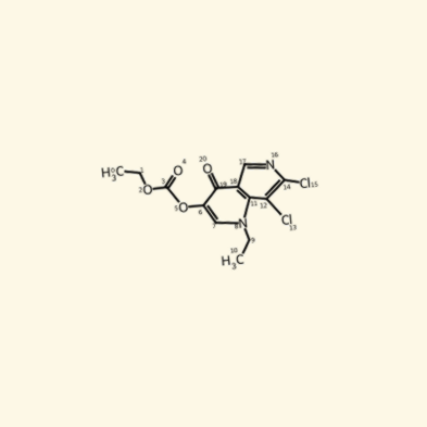 CCOC(=O)Oc1cn(CC)c2c(Cl)c(Cl)ncc2c1=O